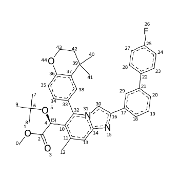 COC(=O)[C@@H](OC(C)(C)C)c1c(C)cc2nc(-c3cccc(-c4ccc(F)cc4)c3)cn2c1-c1ccc2c(c1)C(C)(C)CCO2